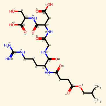 CC(C)COC(=O)CCC(=O)NC(CCCNC(=N)N)C(=O)NCC(=O)NC(CC(=O)O)C(=O)NC(CO)C(=O)O